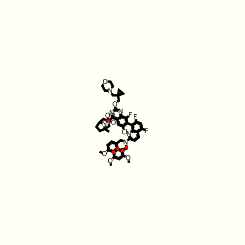 COc1ccc(CN(Cc2ccc(OC)cc2OC)c2ccc3c(F)cc(F)c(-c4c(Cl)cc5c(N6CC7CCC(C)(C6)N7C(=O)O)nc(OCC6(CN7CCOCC7)CC6)nc5c4F)c3n2)c(OC)c1